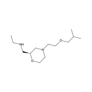 CCNC[C@H]1CN(CCOCC(C)C)CCO1